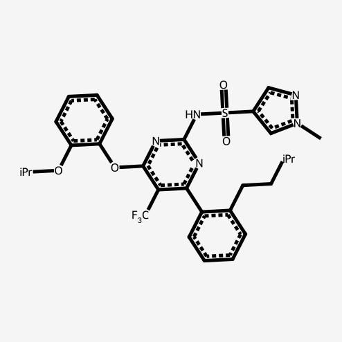 CC(C)CCc1ccccc1-c1nc(NS(=O)(=O)c2cnn(C)c2)nc(Oc2ccccc2OC(C)C)c1C(F)(F)F